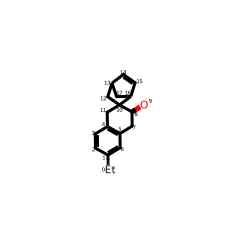 CCc1ccc2c(c1)CC(=O)C1(C2)CC2C=CC1C2